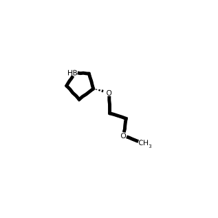 COCCO[C@H]1CBCC1